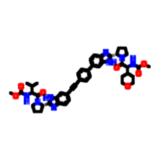 COC(=O)NC(C(=O)N1CCC[C@H]1c1nc2ccc(C#Cc3ccc(-c4ccc5nc([C@@H]6CCCN6C(=O)[C@@H](NC(=O)OC)C6CCOCC6)[nH]c5c4)cc3)cc2[nH]1)C(C)C